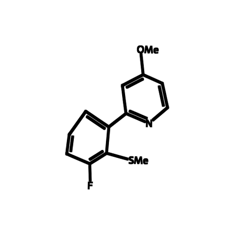 COc1ccnc(-c2cccc(F)c2SC)c1